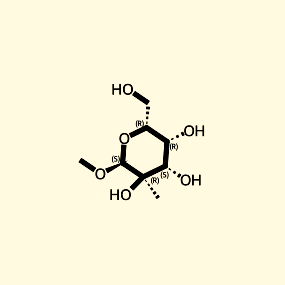 CO[C@H]1O[C@H](CO)[C@H](O)[C@H](O)[C@@]1(C)O